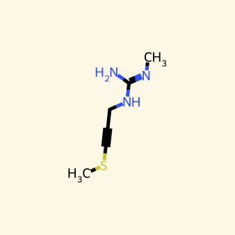 C/N=C(\N)NCC#CSC